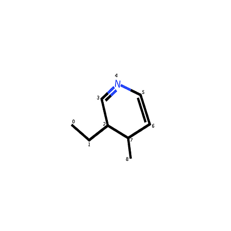 CCC1C=NC=CC1C